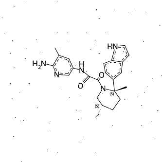 Cc1cc(NC(=O)C(=O)N2C[C@@H](C)CC[C@@]2(C)c2ccc3[nH]ccc3c2)cnc1N